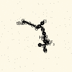 CC(C)(C)OC(=O)COCCOCCOCCNC(=O)C1(C)CCC(c2ccc(Cl)cc2)=C(CN2CCN(c3ccc(C(=O)NS(=O)(=O)c4ccc(NC(CCN5CCOCC5)CSc5ccccc5)c(S(=O)(=O)C(F)(F)F)c4)cc3)CC2)C1